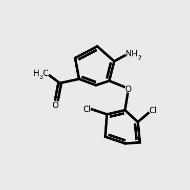 CC(=O)c1ccc(N)c(Oc2c(Cl)cccc2Cl)c1